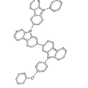 c1ccc(Oc2ccc(-n3c4ccccc4c4ccc(-c5ccc6c7ccccc7n(-c7ccc8c(c7)c7ccccc7n8-c7ccccc7)c6c5)cc43)cc2)cc1